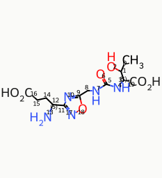 CC(O)[C@H](NC(=O)NCc1nc([C@@H](N)CCC(=O)O)no1)C(=O)O